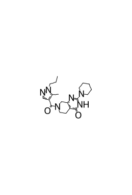 CCCn1ncc(C(=O)N2CCc3c(nc(N4CCCCC4)[nH]c3=O)C2)c1C